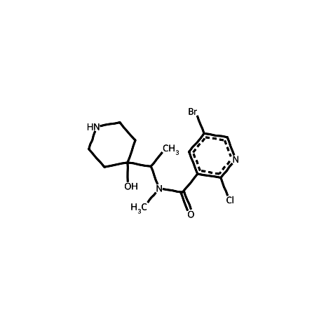 CC(N(C)C(=O)c1cc(Br)cnc1Cl)C1(O)CCNCC1